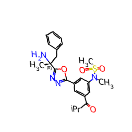 CC(C)C(=O)c1cc(-c2nnc([C@](C)(N)Cc3ccccc3)o2)cc(N(C)S(C)(=O)=O)c1